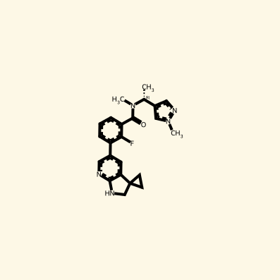 C[C@H](c1cnn(C)c1)N(C)C(=O)c1cccc(-c2cnc3c(c2)C2(CC2)CN3)c1F